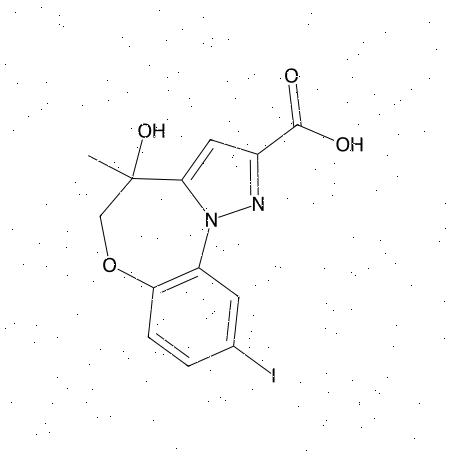 CC1(O)COc2ccc(I)cc2-n2nc(C(=O)O)cc21